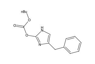 CCCCOC(=O)Oc1nc(Cc2ccccc2)c[nH]1